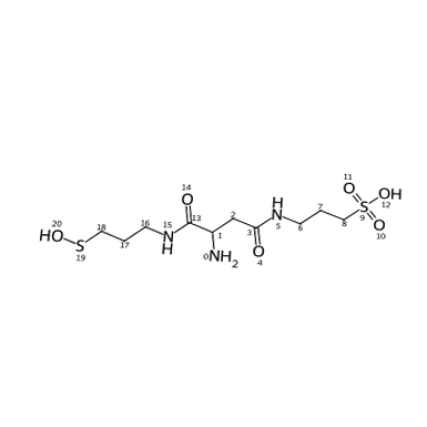 NC(CC(=O)NCCCS(=O)(=O)O)C(=O)NCCCSO